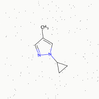 Cc1[c]nn(C2CC2)c1